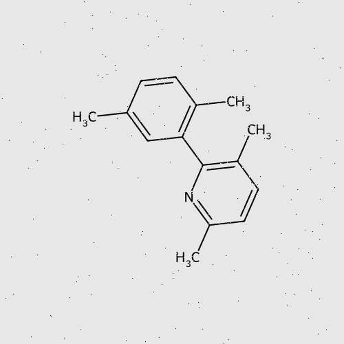 Cc1ccc(C)c(-c2nc(C)ccc2C)c1